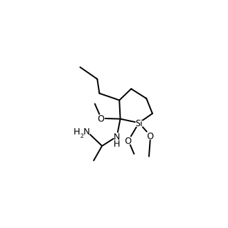 CCCC1CCC[Si](OC)(OC)C1(NC(C)N)OC